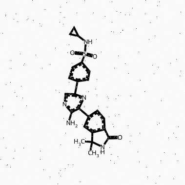 CC1(C)NC(=O)c2ccc(-c3nc(-c4ccc(S(=O)(=O)NC5CC5)cc4)cnc3N)cc21